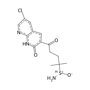 CC(C)(CCC(=O)c1cc2cc(Cl)cnc2[nH]c1=O)[S@@+](N)[O-]